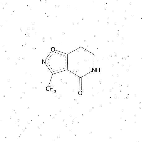 Cc1noc2c1C(=O)NCC2